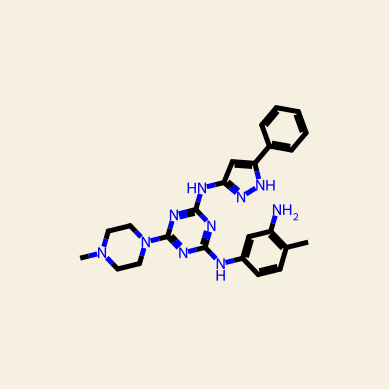 Cc1ccc(Nc2nc(Nc3cc(-c4ccccc4)[nH]n3)nc(N3CCN(C)CC3)n2)cc1N